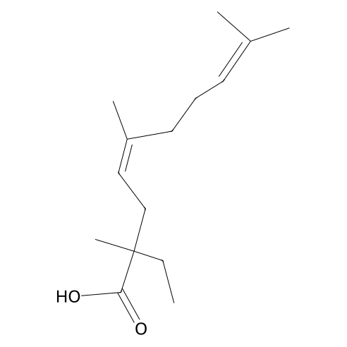 CCC(C)(C/C=C(/C)CCC=C(C)C)C(=O)O